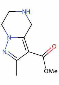 COC(=O)c1c(C)nn2c1CNCC2